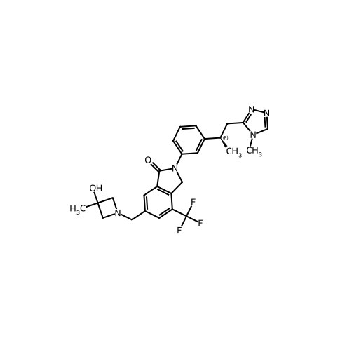 C[C@H](Cc1nncn1C)c1cccc(N2Cc3c(cc(CN4CC(C)(O)C4)cc3C(F)(F)F)C2=O)c1